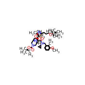 COc1cccc(CN(C(=O)C2=C(c3cnc(CCCO[Si](C)(C)C(C)(C)C)s3)CC3CN(C(=O)OC(C)(C)C)C[C@H]2N3C(=O)OC(C)(C)C)C2CC2)c1C